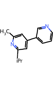 Cc1cc(-c2cccnc2)cc(C(C)C)n1